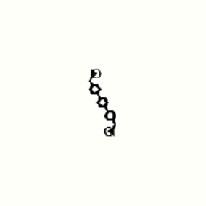 c1cc(-c2ccc(-c3ccc(CC4CO4)cc3)cc2)ccc1CC1CO1